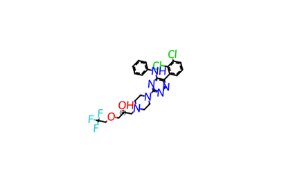 O[C@@H](COCC(F)(F)F)CN1CCN(c2nnc(-c3cccc(Cl)c3Cl)c(Nc3ccccc3)n2)CC1